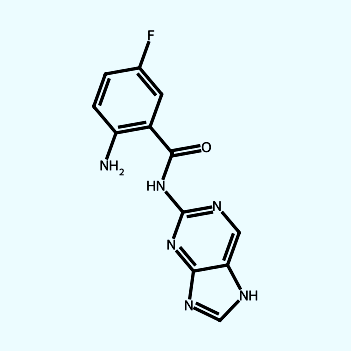 Nc1ccc(F)cc1C(=O)Nc1ncc2[nH]cnc2n1